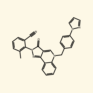 Cc1cccc(C#N)c1-n1nc2c3ccccc3n(Cc3ccc(-n4cccn4)cc3)cc-2c1=O